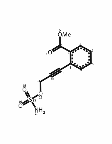 COC(=O)c1ccccc1C#CCOS(N)(=O)=O